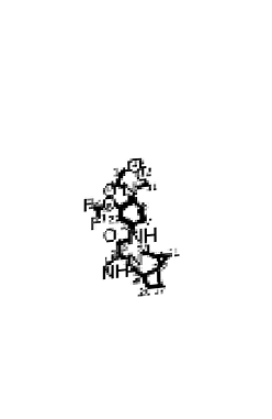 NC[C@@H](C(=O)Nc1ccc(N2CCOCC2=O)c(OC(F)F)c1)N(CC1CCC1)CC1CC1